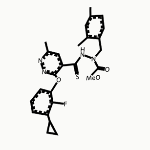 COC(=O)N(Cc1ccc(C)cc1C)NC(=S)c1cc(C)nnc1Oc1cccc(C2CC2)c1F